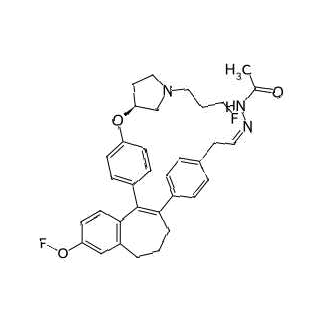 CC(=O)N/N=C\Cc1ccc(C2=C(c3ccc(O[C@H]4CCN(CCCF)C4)cc3)c3ccc(OF)cc3CCC2)cc1